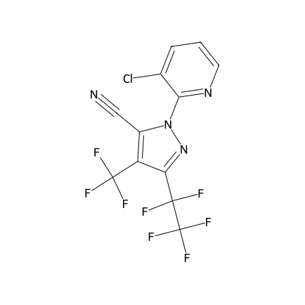 N#Cc1c(C(F)(F)F)c(C(F)(F)C(F)(F)F)nn1-c1ncccc1Cl